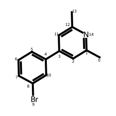 Cc1cc(-c2cccc(Br)c2)cc(C)n1